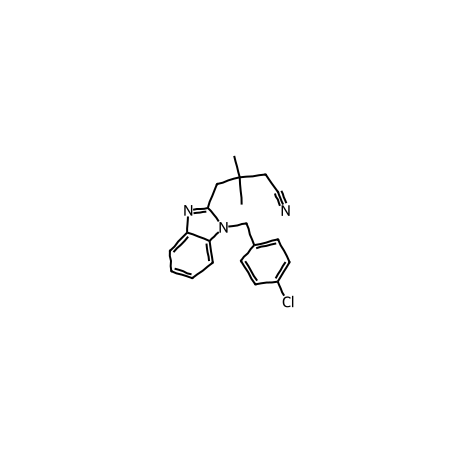 CC(C)(CC#N)Cc1nc2ccccc2n1Cc1ccc(Cl)cc1